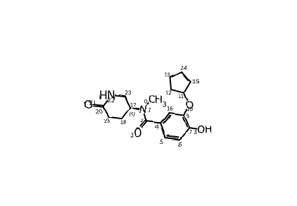 CN(C(=O)c1ccc(O)c(OC2CCCC2)c1)[C@H]1CCC(=O)NC1